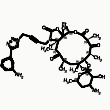 CC[C@H]1OC(=O)[C@H](C)C(=O)[C@H](C)[C@@H](O[C@@H]2O[C@H](C)CC(N)C2O)[C@](C)(OC)C[C@@H](C)C(=O)[C@H](C)[C@H]2N(CC#CCn3cc(-c4cccc(N)c4)nn3)C(=O)O[C@]12C